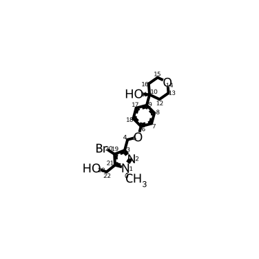 Cn1nc(COc2ccc(C3(O)CCOCC3)cc2)c(Br)c1CO